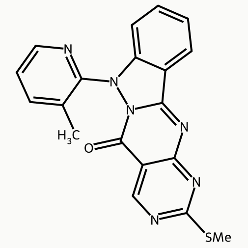 CSc1ncc2c(=O)n3c(nc2n1)c1ccccc1n3-c1ncccc1C